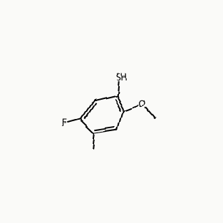 COc1cc(C)c(F)cc1S